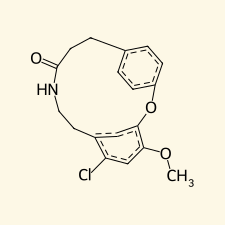 COc1cc(Cl)c2cc1Oc1ccc(cc1)CCC(=O)NCC2